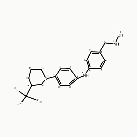 ONCc1ccc(Nc2ccc(N3CCCC(C(F)(F)F)C3)cc2)cc1